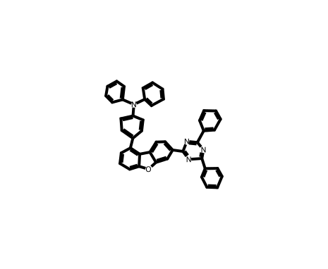 c1ccc(-c2nc(-c3ccccc3)nc(-c3ccc4c(c3)oc3cccc(-c5ccc(N(c6ccccc6)c6ccccc6)cc5)c34)n2)cc1